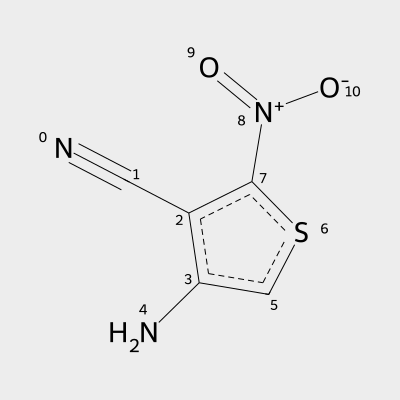 N#Cc1c(N)csc1[N+](=O)[O-]